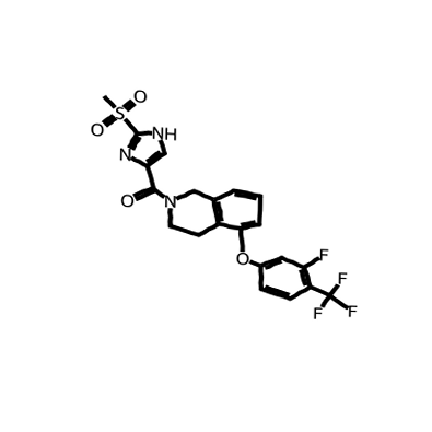 CS(=O)(=O)c1nc(C(=O)N2CCc3c(cccc3Oc3ccc(C(F)(F)F)c(F)c3)C2)c[nH]1